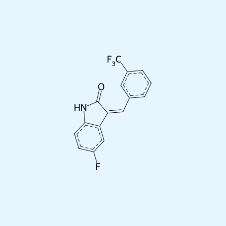 O=C1Nc2ccc(F)cc2/C1=C/c1cccc(C(F)(F)F)c1